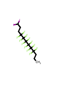 CCCC(F)(F)C(F)(F)C(F)(F)C(F)(F)C(F)(F)C(F)(F)CCC(I)I